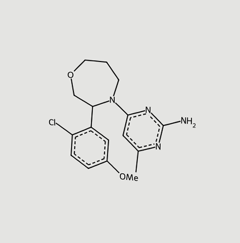 COc1ccc(Cl)c(C2COCCCN2c2cc(C)nc(N)n2)c1